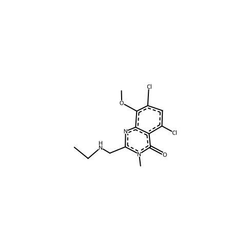 CCNCc1nc2c(OC)c(Cl)cc(Cl)c2c(=O)n1C